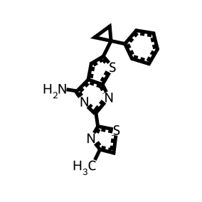 Cc1csc(-c2nc(N)c3cc(C4(c5ccccc5)CC4)sc3n2)n1